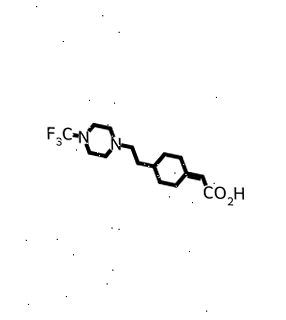 O=C(O)C=C1CCC(CCN2CCN(C(F)(F)F)CC2)CC1